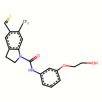 O=C(Nc1cccc(OCCO)c1)N1CCc2cc(C=S)c(C(F)(F)F)cc21